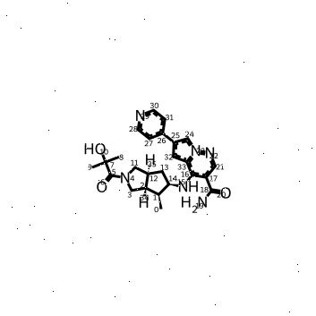 C[C@H]1[C@@H]2CN(C(=O)C(C)(C)O)C[C@H]2C[C@H]1Nc1c(C(N)=O)cnn2cc(-c3ccncc3)cc12